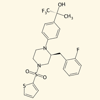 C[C@](O)(c1ccc(N2CCN(S(=O)(=O)c3cccs3)C[C@@H]2Cc2ccccc2F)cc1)C(F)(F)F